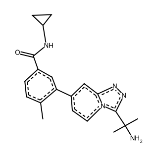 Cc1ccc(C(=O)NC2CC2)cc1-c1ccn2c(C(C)(C)N)nnc2c1